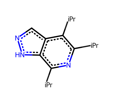 CC(C)c1nc(C(C)C)c2[nH]ncc2c1C(C)C